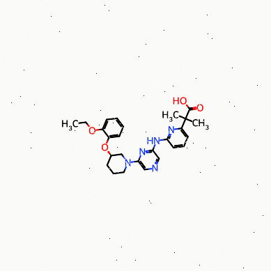 CCOc1ccccc1O[C@@H]1CCCN(c2cncc(Nc3cccc(C(C)(C)C(=O)O)n3)n2)C1